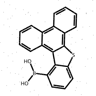 OB(O)c1cccc2sc3c4ccccc4c4ccccc4c3c12